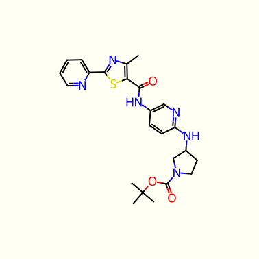 Cc1nc(-c2ccccn2)sc1C(=O)Nc1ccc(NC2CCN(C(=O)OC(C)(C)C)C2)nc1